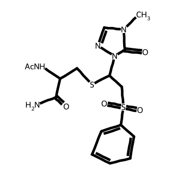 CC(=O)NC(CSC(CS(=O)(=O)c1ccccc1)n1ncn(C)c1=O)C(N)=O